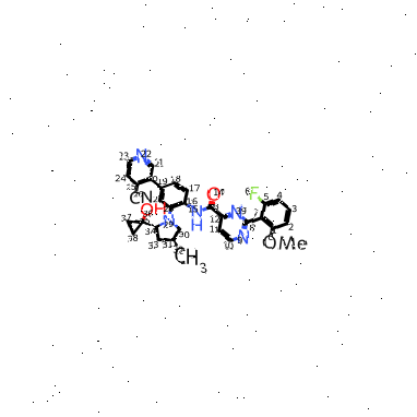 COc1cccc(F)c1-c1nccc(C(=O)Nc2ccc(-c3cnccc3C#N)cc2N2C[C@@H](C)C[C@H]2C2(O)CC2)n1